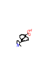 Cc1ncccc1-c1cccc2c(C(=O)O)cccc12